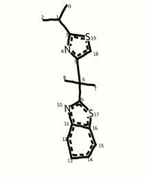 CC(C)c1nc(C(C)(C)c2nc3ccccc3s2)cs1